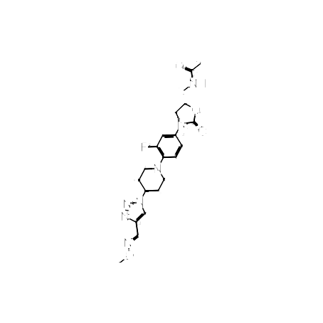 CON=Cc1cn(C2CCN(c3ccc(N4C[C@H](CNC(C)=O)OC4=O)cc3F)CC2)nn1